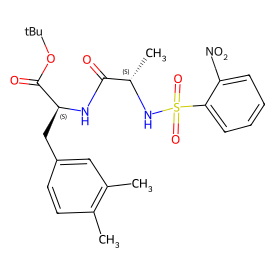 Cc1ccc(C[C@H](NC(=O)[C@H](C)NS(=O)(=O)c2ccccc2[N+](=O)[O-])C(=O)OC(C)(C)C)cc1C